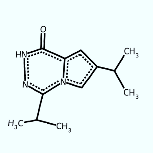 CC(C)c1cc2c(=O)[nH]nc(C(C)C)n2c1